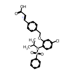 CC(C)N(c1ccc(Cl)cc1OCc1ccc(/C=C/C(=O)O)cc1)S(=O)(=O)c1ccccc1